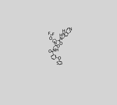 O=C(NCC(=O)N1C[C@H](OC(F)F)C[C@H]1C(=O)NCc1cc2cnccc2[nH]1)c1cccc(Oc2cccs2)c1